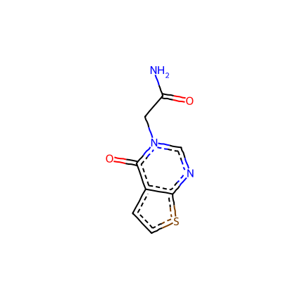 NC(=O)Cn1cnc2sccc2c1=O